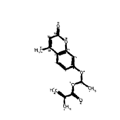 C=C(C)C(=O)OC(C)Oc1ccc2c(C)cc(=O)oc2c1